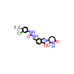 O=C1CCCC(N2Cc3cc(CNC(=O)Nc4ccc(C(F)(F)F)c(Cl)c4)ccc3C2=O)C(=O)N1